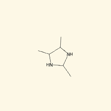 CC1NC(C)C(C)N1